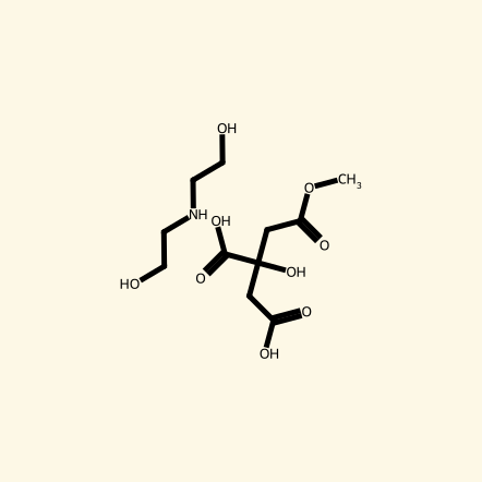 COC(=O)CC(O)(CC(=O)O)C(=O)O.OCCNCCO